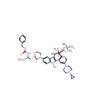 CCn1c(-c2cc(N3CCN(C4CC4)CC3)cnc2[C@H](C)OC)c(CC(C)(C)CO[Si](C)(C)C(C)(C)C)c2cc(N3CCO[C@@H](C[C@H](NC(=O)OCc4ccccc4)C(=O)O)C3)ccc21